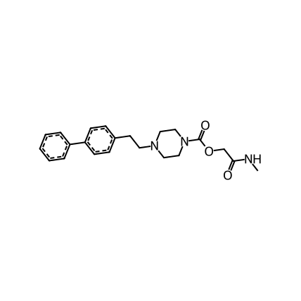 CNC(=O)COC(=O)N1CCN(CCc2ccc(-c3ccccc3)cc2)CC1